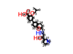 CC(C)COc1cc(-c2ccc3c(c2)CC[C@H](CNC[C@@H](O)c2cccnc2)O3)ccc1C(=O)O